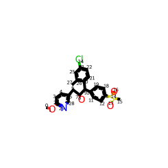 COc1ccc(CC(=O)C(c2ccc(S(C)(=O)=O)cc2)c2ccc(Cl)cc2C)cn1